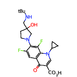 CC(C)(C)NCC1(O)CCN(c2c(F)cc3c(=O)c(C(=O)O)cn(C4CC4)c3c2F)C1